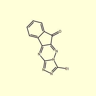 CCc1nnc2nc3c(nn12)C(=O)c1ccccc1-3